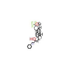 C[C@H]([C@H](O)/C=C/c1ccccc1)[C@H]1CC[C@H]2[C@@H]3CC[C@H]4CC(O[Si](C)(C)C)(C(F)(F)F)CC[C@]4(C)[C@H]3CC[C@]12C